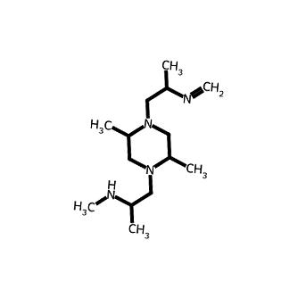 C=NC(C)CN1CC(C)N(CC(C)NC)CC1C